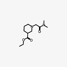 CCOC(=O)C1CCCN(CC(=O)N(C)C)C1